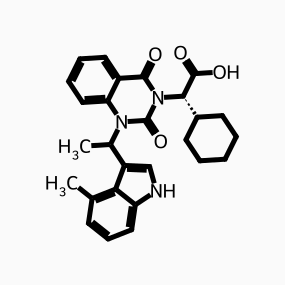 Cc1cccc2[nH]cc(C(C)n3c(=O)n([C@H](C(=O)O)C4CCCCC4)c(=O)c4ccccc43)c12